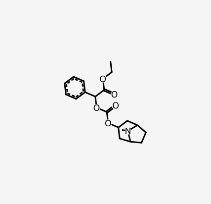 CCOC(=O)C(OC(=O)OC1CC2CCC(C1)N2C)c1ccccc1